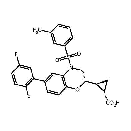 O=C(O)[C@H]1C[C@@H]1[C@H]1CN(S(=O)(=O)c2cccc(C(F)(F)F)c2)c2cc(-c3cc(F)ccc3F)ccc2O1